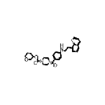 O=C(OC1CCCOC1)N1CCN(C(=O)c2ccc(NCCc3cccc4cccnc34)cc2)CC1